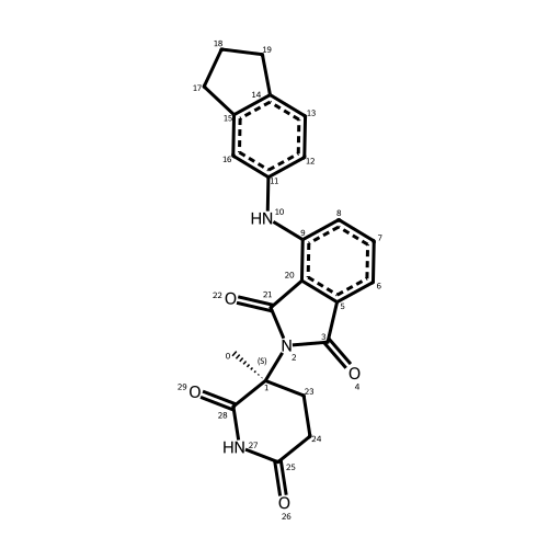 C[C@]1(N2C(=O)c3cccc(Nc4ccc5c(c4)CCC5)c3C2=O)CCC(=O)NC1=O